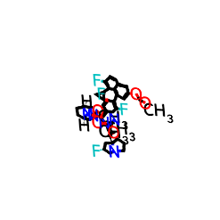 COCOc1cc(-c2c(F)cc3c(N4C[C@H]5CC[C@@H](C4)N5C(=O)OC(C)(C)C)nc(OC[C@@]45CCCN4C[C@H](F)C5)nc3c2F)c2c(C3CC3)c(F)ccc2c1